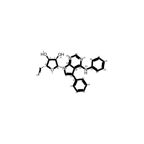 O[C@@H]1[C@H](O)[C@@H](CF)O[C@H]1n1cc(-c2ccccc2)c2c(Nc3ccccc3)ncnc21